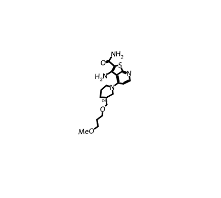 COCCCOC[C@H]1CCCN(c2ccnc3sc(C(N)=O)c(N)c23)C1